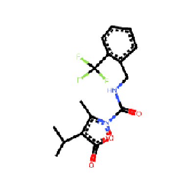 Cc1c(C(C)C)c(=O)on1C(=O)NCc1ccccc1C(F)(F)F